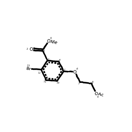 COC(=O)c1cc(OCCOC(C)=O)ccc1Br